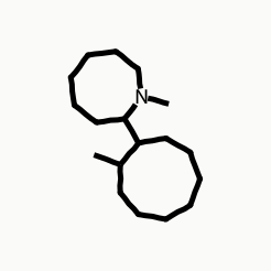 CC1CCCCCCCC1C1CCCCCCN1C